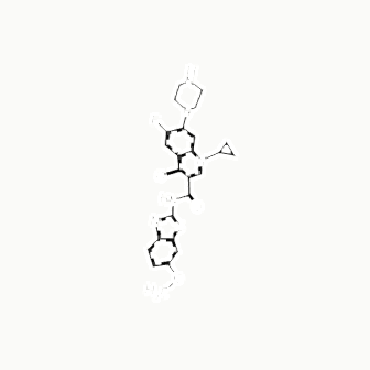 COc1ccc2nc(NC(=O)c3cn(C4CC4)c4cc(N5CCNCC5)c(F)cc4c3=O)sc2c1